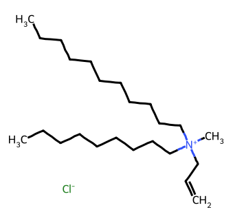 C=CC[N+](C)(CCCCCCCCC)CCCCCCCCCCC.[Cl-]